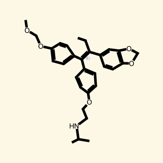 CC/C(=C(/c1ccc(OCCNC(C)C)cc1)c1ccc(OCOC)cc1)c1ccc2c(c1)OCO2